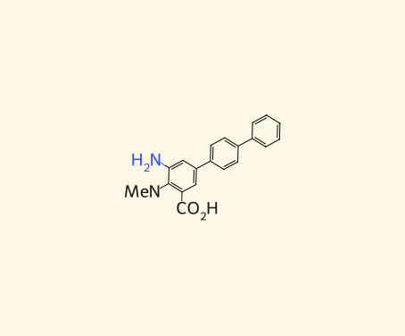 CNc1c(N)cc(-c2ccc(-c3ccccc3)cc2)cc1C(=O)O